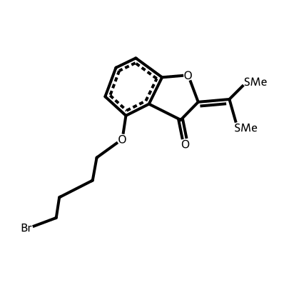 CSC(SC)=C1Oc2cccc(OCCCCBr)c2C1=O